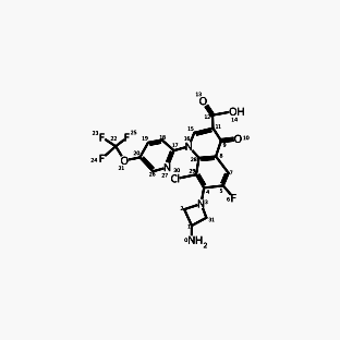 NC1CN(c2c(F)cc3c(=O)c(C(=O)O)cn(-c4ccc(OC(F)(F)F)cn4)c3c2Cl)C1